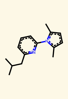 Cc1ccc(C)n1-c1cccc(CC(C)C)n1